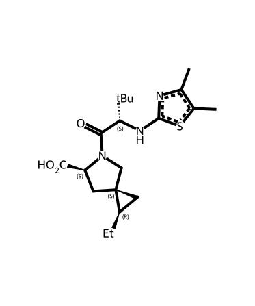 CC[C@@H]1C[C@]12C[C@@H](C(=O)O)N(C(=O)[C@@H](Nc1nc(C)c(C)s1)C(C)(C)C)C2